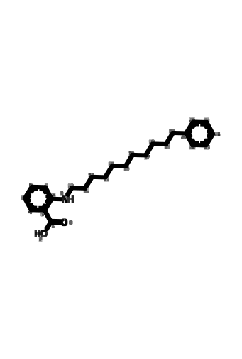 O=C(O)c1ccccc1NCCCCCCCCCCCc1ccccc1